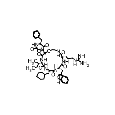 CCC(C)[C@@H]1NC(=O)[C@@H](NC(=O)[C@H](Cc2ccccc2)NC(C)=O)CCCNC(=O)[C@H](CCCNC(=N)N)NC(=O)[C@H](Cc2c[nH]c3ccccc23)NC(=O)[C@@H](CC2CCCCC2)NC1=O